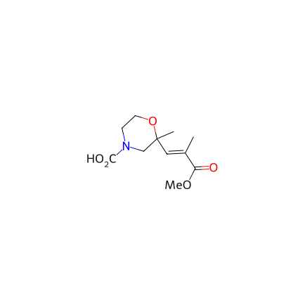 COC(=O)/C(C)=C/C1(C)CN(C(=O)O)CCO1